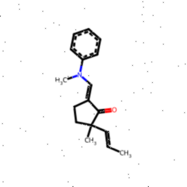 CC=CC1(C)CC/C(=C\N(C)c2ccccc2)C1=O